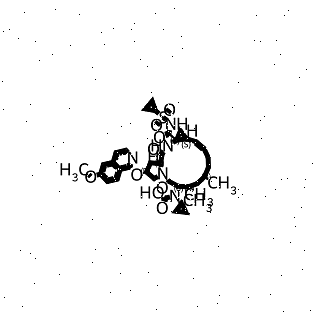 COc1ccc2c(O[C@@H]3C[C@H]4C(=O)N[C@]5(C(=O)NS(=O)(=O)C6CC6)C[C@H]5C=CCC[C@@H](C)C[C@@H](C)[C@H](N(C(=O)O)C5(C)CC5)C(=O)N4C3)nccc2c1